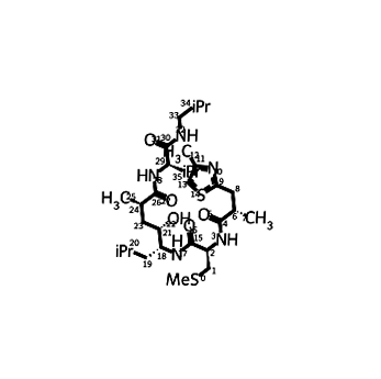 CSC[C@H](NC(=O)[C@@H](C)Cc1nc(C)cs1)C(=O)N[C@H](CC(C)C)[C@@H](O)C[C@@H](C)C(=O)N[C@@H](C(=O)NCC(C)C)C(C)C